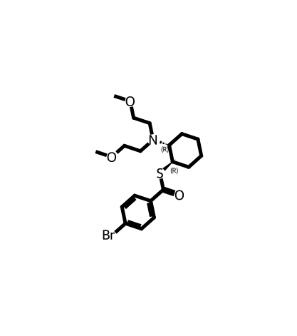 COCCN(CCOC)[C@@H]1CCCC[C@H]1SC(=O)c1ccc(Br)cc1